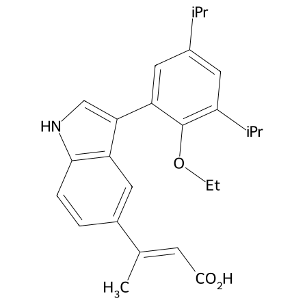 CCOc1c(-c2c[nH]c3ccc(C(C)=CC(=O)O)cc23)cc(C(C)C)cc1C(C)C